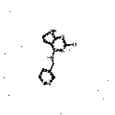 Clc1nc(NCc2ccnnc2)c2cc[nH]c2n1